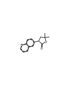 CC1(C)CN(c2ccc3ncccc3c2)C(=O)O1